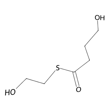 O=C(CCCO)SCCO